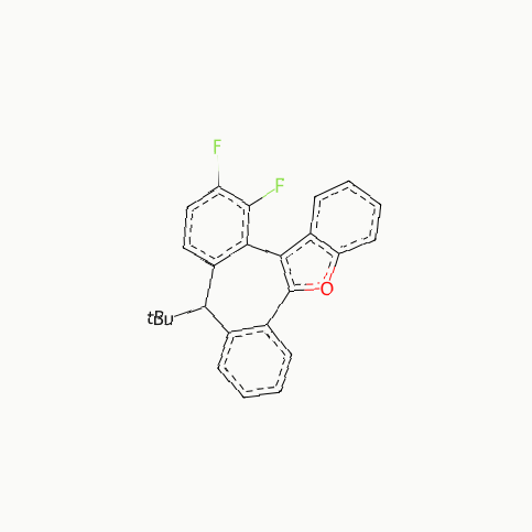 CC(C)(C)C1c2ccccc2-c2oc3ccccc3c2-c2c1ccc(F)c2F